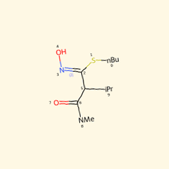 CCCCS/C(=N\O)C(C(=O)NC)C(C)C